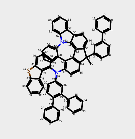 CC1(c2cccc(-c3ccccc3)c2)c2ccc(N(c3ccc(-c4ccccc4)c(-c4ccccc4)c3)c3cccc4sc5ccccc5c34)c3c2-c2c1ccc1c4ccccc4n(c21)-c1ccccc1-3